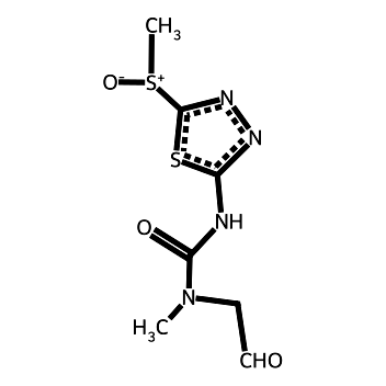 CN(CC=O)C(=O)Nc1nnc([S+](C)[O-])s1